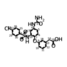 NC(=O)Nc1ccc(Oc2cccc(CC(=O)O)c2)c(NS(=O)(=O)c2ccc(Cl)cc2)c1